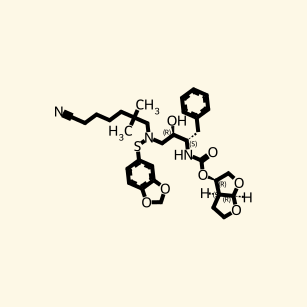 CC(C)(CCCCC#N)CN(C[C@@H](O)[C@H](Cc1ccccc1)NC(=O)O[C@H]1CO[C@H]2OCC[C@H]21)Sc1ccc2c(c1)OCO2